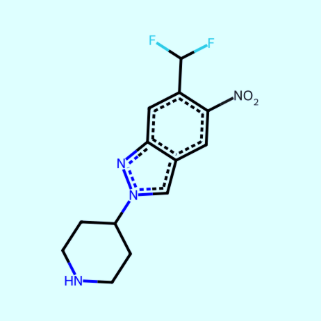 O=[N+]([O-])c1cc2cn(C3CCNCC3)nc2cc1C(F)F